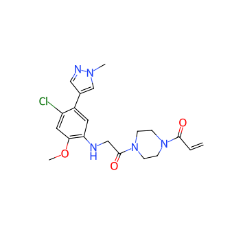 C=CC(=O)N1CCN(C(=O)CNc2cc(-c3cnn(C)c3)c(Cl)cc2OC)CC1